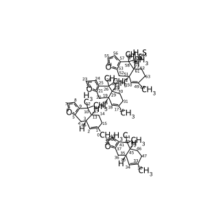 CC1=C[C@@H]2Cc3occc3C(C)(C)[C@@H]2CC1.CC1=C[C@@H]2Cc3occc3C(C)(C)[C@@H]2CC1.CC1=C[C@@H]2Cc3occc3C(C)(C)[C@@H]2CC1.CC1=C[C@@H]2Cc3occc3C(C)(C)[C@@H]2CC1.S.S